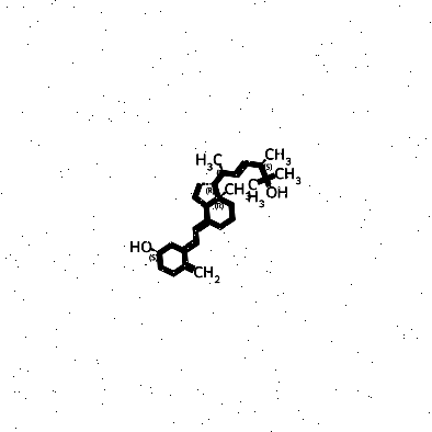 C=C1CC[C@H](O)CC1=CC=C1CCC[C@@]2(C)C1CC[C@@H]2[C@H](C)C=C[C@H](C)C(C)(C)O